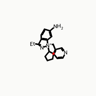 CCC1=N[N+](Cc2cccnc2)(C2CCCC2)c2cc(N)ccc21